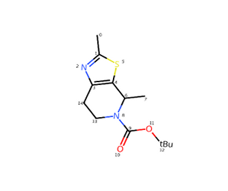 Cc1nc2c(s1)C(C)N(C(=O)OC(C)(C)C)CC2